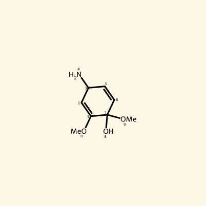 COC1=CC(N)C=CC1(O)OC